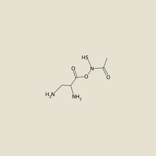 CC(=O)N(S)OC(=O)C(N)CN